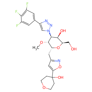 CO[C@@H]1[C@@H](n2cc(-c3cc(F)c(F)c(F)c3)nn2)[C@@H](O)[C@@H](CO)O[C@@H]1Cc1cc(C2(O)CCOCC2)on1